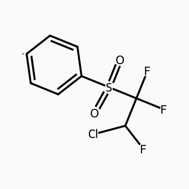 O=S(=O)(c1cc[c]cc1)C(F)(F)C(F)Cl